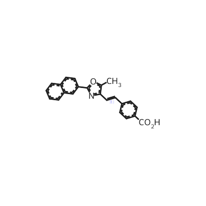 Cc1oc(-c2ccc3ccccc3c2)nc1/C=C/c1ccc(C(=O)O)cc1